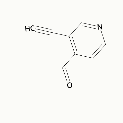 C#Cc1cnccc1C=O